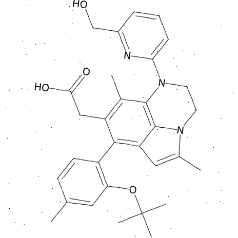 Cc1ccc(-c2c(CC(=O)O)c(C)c3c4c2cc(C)n4CCN3c2cccc(CO)n2)c(OC(C)(C)C)c1